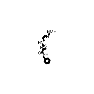 CN/C=N\C=C/CNc1nc(C(=O)NCc2ccccc2)cs1